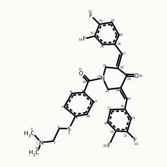 CN(C)CCSc1ccc(C(=O)N2C/C(=C\c3ccc(F)c(F)c3)C(=O)/C(=C/c3ccc(F)c(F)c3)C2)cc1